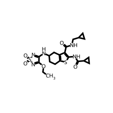 CCOC1=NS(=O)(=O)N=C1NC1CCc2sc(NC(=O)C3CC3)c(C(=O)NCC3CC3)c2C1